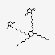 C=C1C=CC(=O)N1CCCCCCCC1=C(CCCCCCC)CC(CCCCCCC)C(CCCCCCCN2C(=O)C=CC2=O)C1